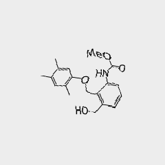 COC(=O)Nc1cccc(CO)c1COc1cc(C)c(C)cc1C